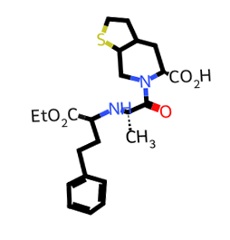 CCOC(=O)C(CCc1ccccc1)N[C@@H](C)C(=O)N1CC2SCCC2C[C@H]1C(=O)O